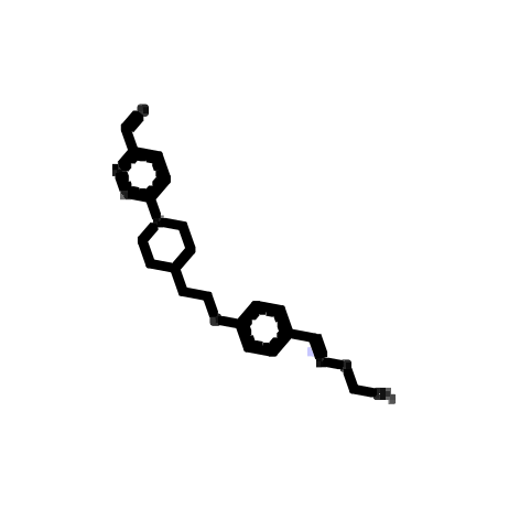 CCO/N=C/c1ccc(OCCC2CCN(c3ccc(C=O)nn3)CC2)cc1